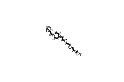 CC(C)OCCOCCOCCN1CCN(CCOC(C)C)CC1